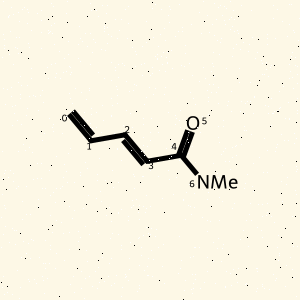 C=C/C=C/C(=O)NC